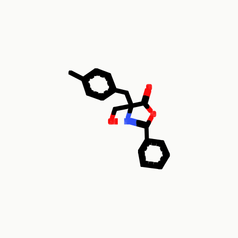 Cc1ccc(CC2(CO)N=C(c3ccccc3)OC2=O)cc1